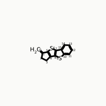 C=C1CCc2c1sc1c2sc2ccccc21